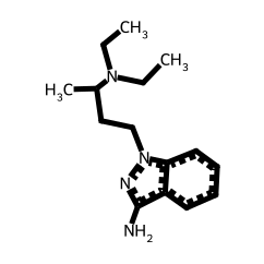 CCN(CC)C(C)CCn1nc(N)c2ccccc21